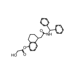 O=C(CC1CCCc2c(OC(=O)CO)cccc21)NC(c1ccccc1)c1ccccc1